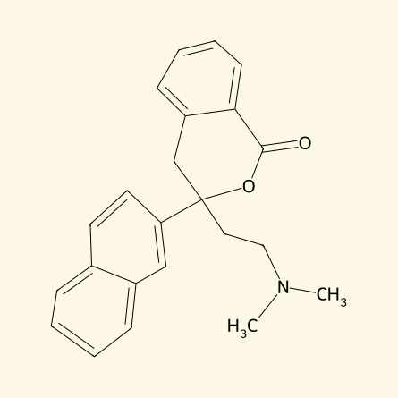 CN(C)CCC1(c2ccc3ccccc3c2)Cc2ccccc2C(=O)O1